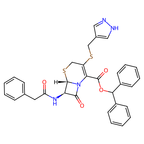 O=C(Cc1ccccc1)N[C@@H]1C(=O)N2C(C(=O)OC(c3ccccc3)c3ccccc3)=C(SCc3cn[nH]c3)CS[C@@H]12